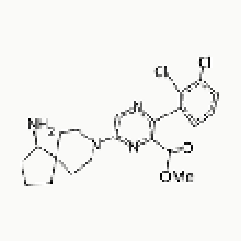 COC(=O)c1nc(N2CCC3(CCC[C@H]3N)CC2)cnc1-c1cccc(Cl)c1Cl